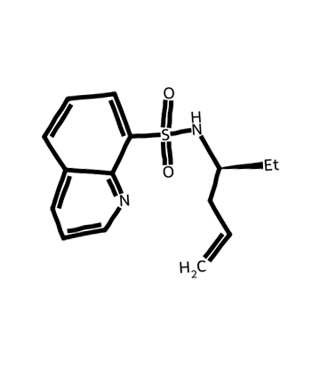 C=CC[C@H](CC)NS(=O)(=O)c1cccc2cccnc12